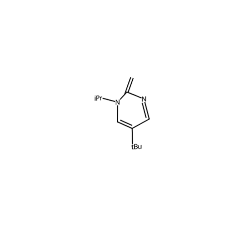 C=C1N=CC(C(C)(C)C)=CN1C(C)C